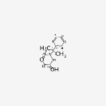 CC(C)(c1ccccc1)C1COCC(O)C1